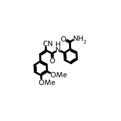 COc1ccc(C=C(C#N)C(=O)Nc2ccccc2C(N)=O)cc1OC